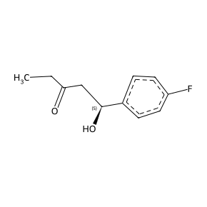 CCC(=O)C[C@H](O)c1ccc(F)cc1